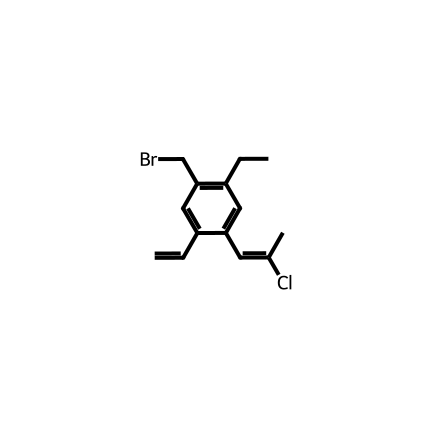 C=Cc1cc(CBr)c(CC)cc1/C=C(\C)Cl